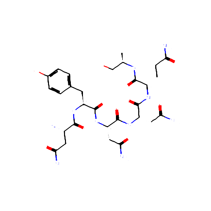 NC(=O)CC[C@H](NC(=O)[C@H](CC(N)=O)NC(=O)[C@H](CC(N)=O)NC(=O)[C@H](Cc1ccc(O)cc1)NC(=O)[C@@H](N)CC(N)=O)C(=O)N[C@@H](CO)C(=O)O